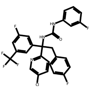 O=C(Nc1cccc(F)c1)NC(Cc1ccc(F)cc1)(c1cc(F)cc(C(F)(F)F)c1)c1ccc(Cl)cn1